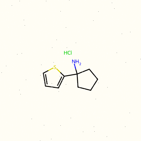 Cl.NC1(c2cccs2)CCCC1